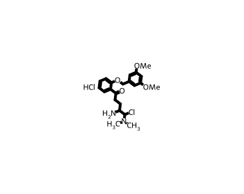 COc1cc(COc2ccccc2C(=O)CCC(N)C(Cl)N(C)C)cc(OC)c1.Cl